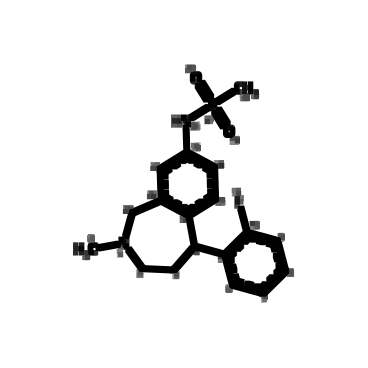 CN1CCC(c2ccccc2F)c2ccc(NS(C)(=O)=O)cc2C1